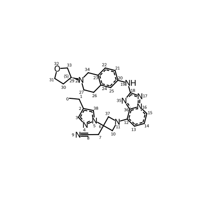 CCc1cnn(C2(CC#N)CN(c3cccn4nc(Nc5ccc6c(c5)CCN([C@H]5CCOC5)C6)nc34)C2)c1